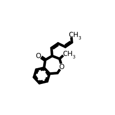 C/C=C\C=C/C1C(=O)c2ccccc2COC1C